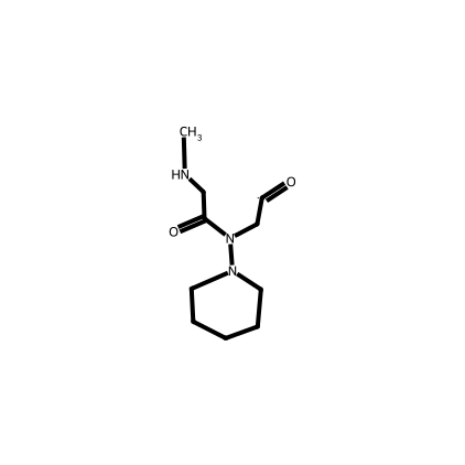 CNCC(=O)N(C[C]=O)N1CCCCC1